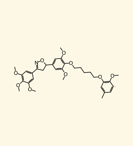 COc1[c]cc(C)cc1OCCCCCOc1c(OC)cc(C2CC(c3cc(OC)c(OC)c(OC)c3)=NO2)cc1OC